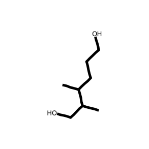 CC(CO)C(C)CCCO